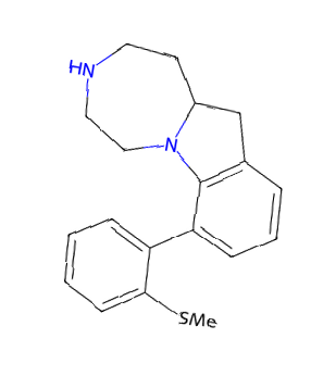 CSc1ccccc1-c1cccc2c1N1CCNCCC1C2